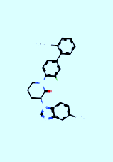 CSc1ccccc1-c1ccc(N2CCCC(n3cnc4cc(C#N)ccc43)C2=O)c(F)c1